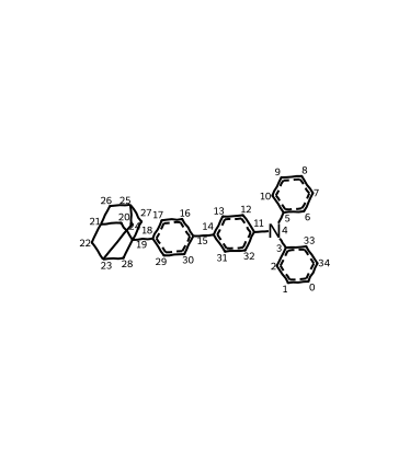 c1ccc(N(c2ccccc2)c2ccc(-c3ccc(C45CC6CC(CC(C6)C4)C5)cc3)cc2)cc1